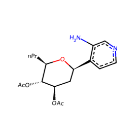 CCC[C@H]1O[C@@H](c2ccncc2N)C[C@@H](OC(C)=O)[C@@H]1OC(C)=O